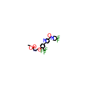 CCOC(=O)/C=C\COc1ccc(-c2ccc(C(=O)N3CCC(F)(F)CC3)cn2)cc1C(F)(F)F